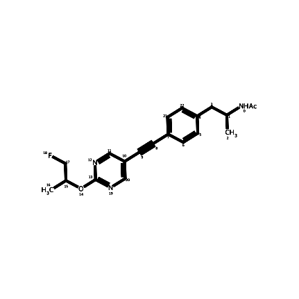 CC(=O)NC(C)Cc1ccc(C#Cc2cnc(OC(C)CF)nc2)cc1